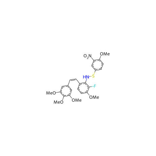 COc1ccc(SNc2c(/C=C\c3cc(OC)c(OC)c(OC)c3)ccc(OC)c2F)cc1[N+](=O)[O-]